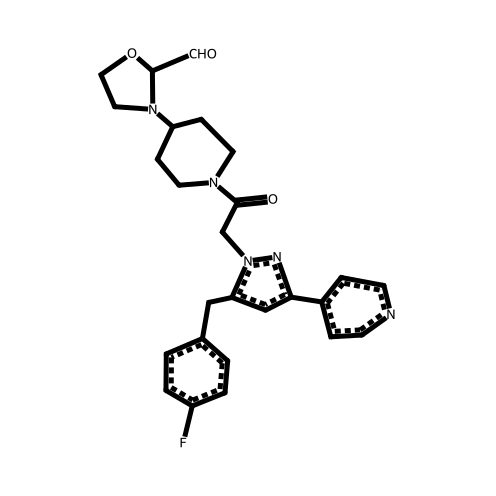 O=CC1OCCN1C1CCN(C(=O)Cn2nc(-c3ccncc3)cc2Cc2ccc(F)cc2)CC1